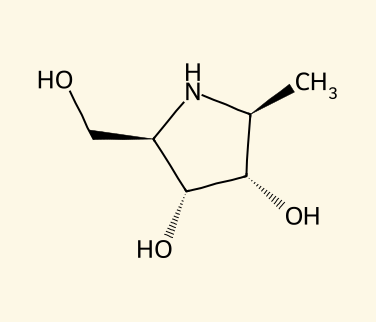 C[C@@H]1N[C@H](CO)[C@@H](O)[C@H]1O